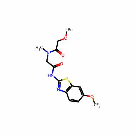 CN(CC(=O)Nc1nc2ccc(OC(F)(F)F)cc2s1)C(=O)COC(C)(C)C